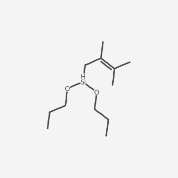 CCCO[SiH](CC(C)=C(C)C)OCCC